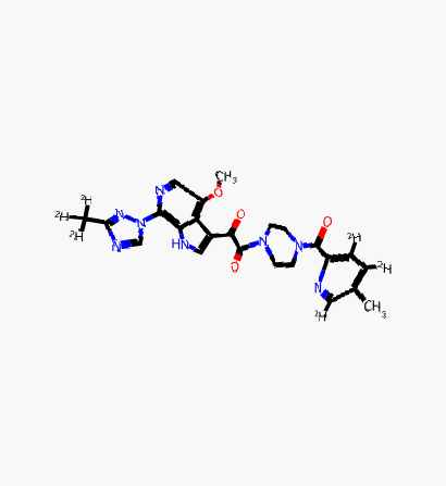 [2H]c1nc(C(=O)N2CCN(C(=O)C(=O)c3c[nH]c4c(-n5cnc(C([2H])([2H])[2H])n5)ncc(OC)c34)CC2)c([2H])c([2H])c1C